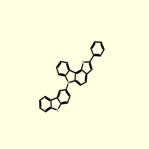 c1ccc(-c2cc3ccc4c(c5ccccc5n4-c4ccc5sc6ccccc6c5c4)c3o2)cc1